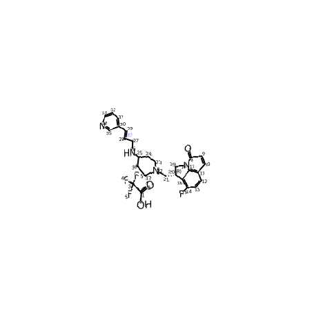 O=C(O)C(F)(F)F.O=c1ccc2ccc(F)c3c2n1C[C@H]3CN1CCC(NC/C=C/c2cccnc2)CC1